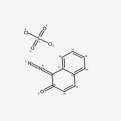 O=S(=O)(Cl)Cl.[N-]=[N+]=C1C(=O)C=Cc2ccccc21